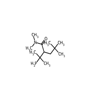 CN(C)C(=O)C(CC(C)(C)C)C(C)(C)P